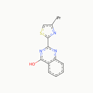 CC(C)c1csc(-c2nc(O)c3ccccc3n2)n1